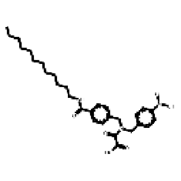 CCCCCCCCCCCCNC(=O)c1ccc(CN(Cc2ccc(N(O)O)cc2)C(=O)C(=O)O)cc1